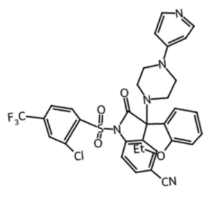 CCOc1ccccc1C1(N2CCN(c3ccncc3)CC2)C(=O)N(S(=O)(=O)c2ccc(C(F)(F)F)cc2Cl)c2ccc(C#N)cc21